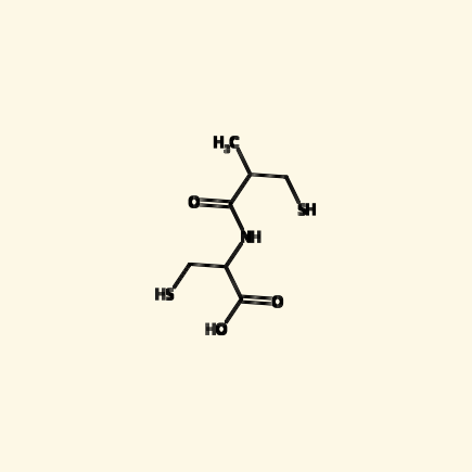 CC(CS)C(=O)NC(CS)C(=O)O